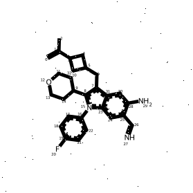 C=C(C)C1CC(Cc2c(C3CCOCC3)n(-c3ccc(F)cc3)c3cc(C=N)c(N)cc23)C1